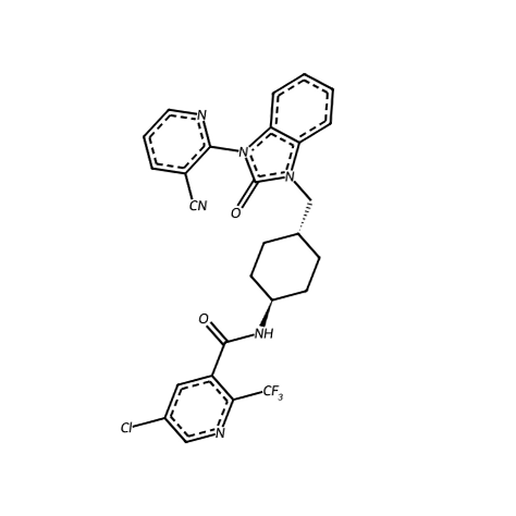 N#Cc1cccnc1-n1c(=O)n(C[C@H]2CC[C@H](NC(=O)c3cc(Cl)cnc3C(F)(F)F)CC2)c2ccccc21